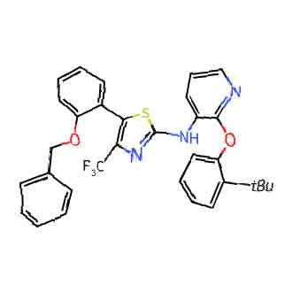 CC(C)(C)c1ccccc1Oc1ncccc1Nc1nc(C(F)(F)F)c(-c2ccccc2OCc2ccccc2)s1